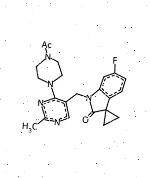 CC(=O)N1CCN(c2nc(C)ncc2CN2C(=O)C3(CC3)c3ccc(F)cc32)CC1